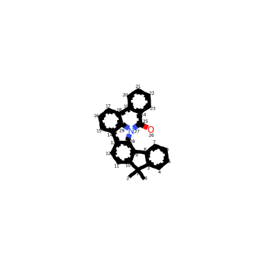 CC1(C)c2ccccc2-c2c1ccc1c3cccc4c5ccccc5c(=O)n(c21)c43